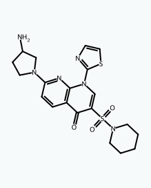 NC1CCN(c2ccc3c(=O)c(S(=O)(=O)N4CCCCC4)cn(-c4nccs4)c3n2)C1